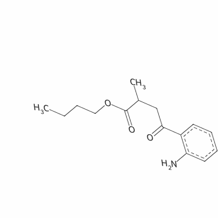 CCCCOC(=O)C(C)CC(=O)c1ccccc1N